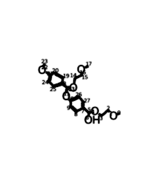 COCCOC(O)c1ccc(OC(OCCOC)c2ccc(OC)cc2)cc1